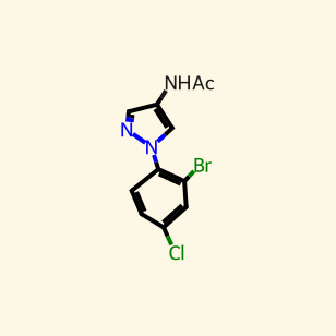 CC(=O)Nc1cnn(-c2ccc(Cl)cc2Br)c1